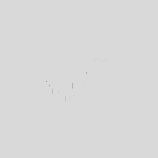 [Ni+2].[OH-].[OH-].[OH-].[OH-].[Pb+2]